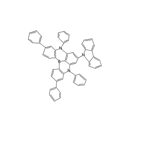 c1ccc(-c2ccc3c(c2)N(c2ccccc2)c2cc(-n4c5ccccc5c5ccccc54)cc4c2B3c2ccc(-c3ccccc3)cc2N4c2ccccc2)cc1